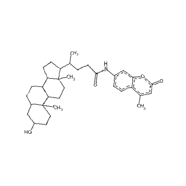 Cc1cc(=O)oc2cc(NC(=O)CCC(C)C3CCC4C5CCC6CC(O)CCC6(C)C5CCC34C)ccc12